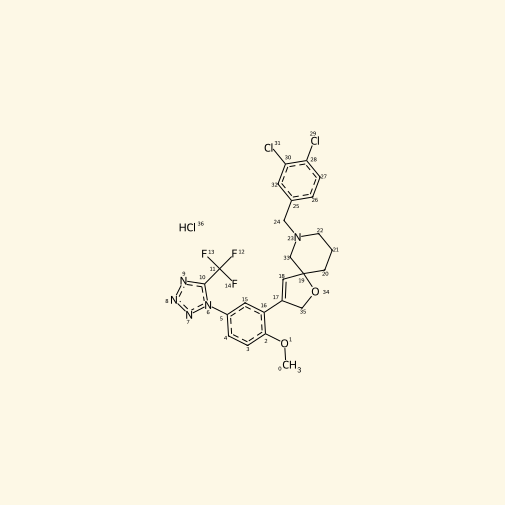 COc1ccc(-n2nnnc2C(F)(F)F)cc1C1=CC2(CCCN(Cc3ccc(Cl)c(Cl)c3)C2)OC1.Cl